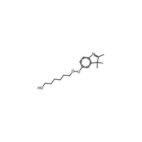 CC1=Nc2ccc(OOCCCCCCO)cc2C1(C)C